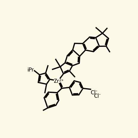 CC1=CC(C)(C)c2cc3c(cc21)-c1cc2c(cc1C3)C(C)(C)[C]([Zr+2]([C]1=C(C)C(C(C)C)=CC1C)=[C](c1ccc(C)cc1)c1ccc(C)cc1)=C2C.[Cl-].[Cl-]